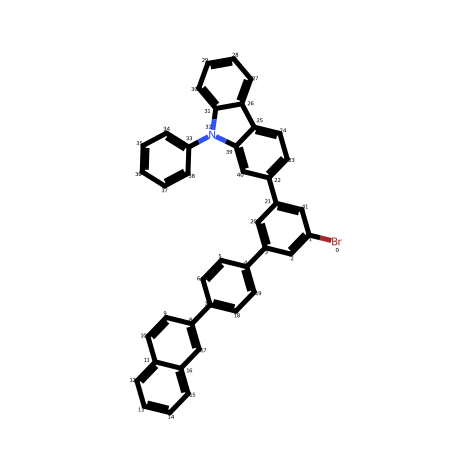 Brc1cc(-c2ccc(-c3ccc4ccccc4c3)cc2)cc(-c2ccc3c4ccccc4n(-c4ccccc4)c3c2)c1